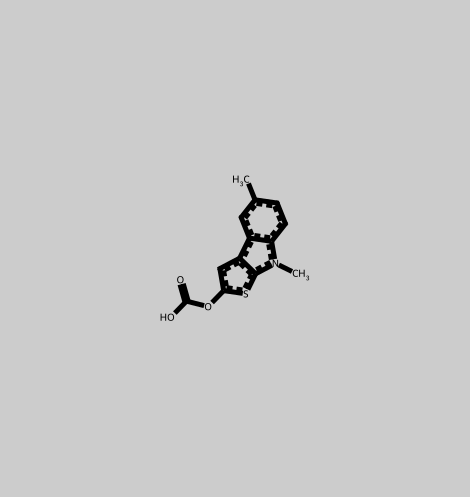 Cc1ccc2c(c1)c1cc(OC(=O)O)sc1n2C